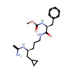 C=C(N)N[C@@H](CCCNC(=O)[C@H](Cc1ccccc1)NC(=O)OC)CC1CC1